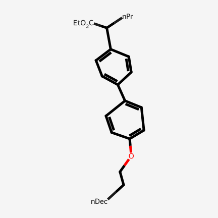 CCCCCCCCCCCCOc1ccc(-c2ccc(C(CCC)C(=O)OCC)cc2)cc1